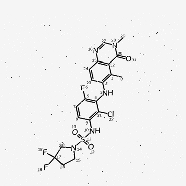 Cc1c(Nc2c(F)ccc(NS(=O)(=O)N3CCC(F)(F)C3)c2Cl)ccc2ncn(C)c(=O)c12